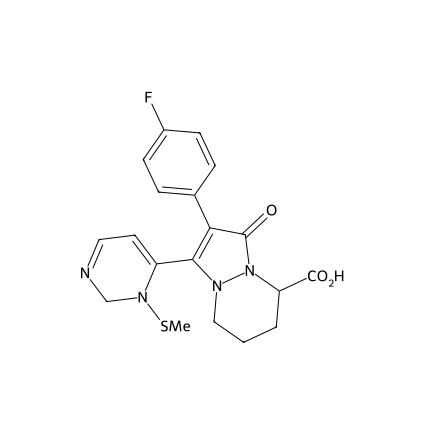 CSN1CN=CC=C1c1c(-c2ccc(F)cc2)c(=O)n2n1CCCC2C(=O)O